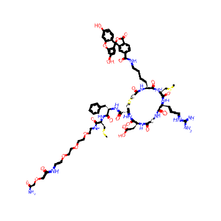 CSC[C@H](NC(=O)[C@H](Cc1ccccc1)NC(=O)[C@@H]1CSCC(=O)N[C@@H](CCCCNC(=O)c2ccc3c(c2)C2(OC3=O)c3ccc(O)cc3Oc3cc(O)ccc32)C(=O)N[C@@H](CSC)C(=O)N[C@@H](CCCNC(=N)N)C(=O)NCC(=O)N[C@@H](CC(=O)O)C(=O)N1)C(=O)NCCOCCOCCOCCNC(=O)COCC(N)=O